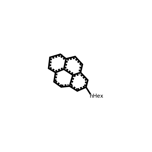 CCCCCCc1cc2ccc3[c]ccc4ccc(c1)c2c34